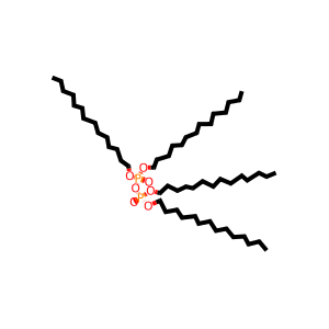 CCCCCCCCCCCCCCOP(=O)(OCCCCCCCCCCCCCC)OP(=O)(OCCCCCCCCCCCCCC)OCCCCCCCCCCCCCC